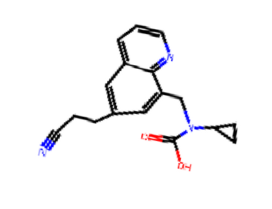 N#CCCc1cc(CN(C(=O)O)C2CC2)c2ncccc2c1